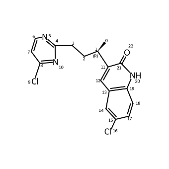 C[C@H](CCc1nccc(Cl)n1)c1cc2cc(Cl)ccc2[nH]c1=O